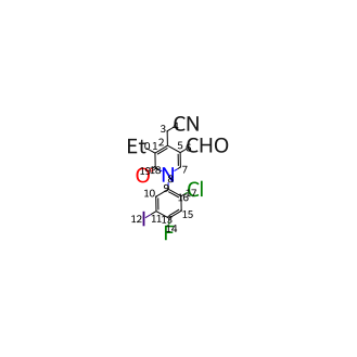 CCc1c(CC#N)c(C=O)cn(-c2cc(I)c(F)cc2Cl)c1=O